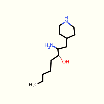 CCCCC[C@@H](O)C(N)CC1CCNCC1